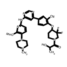 COc1nc(Nc2cc(-c3ccc(OC4CCN(C(=O)C(C)O)CC4(F)F)c(C#N)c3)ncn2)ccc1N1CCN(C)CC1